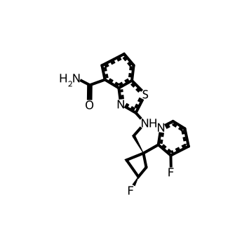 NC(=O)c1cccc2sc(NC[C@]3(c4ncccc4F)C[C@H](F)C3)nc12